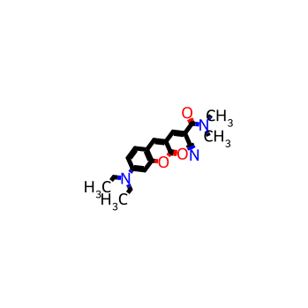 CCN(CC)c1ccc2cc(/C=C(\C#N)C(=O)N(C)C)c(=O)oc2c1